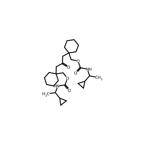 CC(NC(=O)OCC1(CC(=O)CC2(COC(=O)NC(C)C3CC3)CCCCC2)CCCCC1)C1CC1